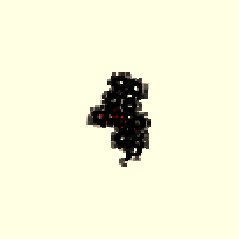 CC1CC2CC(C)C(c3ccc(N(c4ccccc4)c4cc5c(cc4-c4ccccc4)-c4ccccc4C54c5ccccc5-c5ccc(N(c6ccccc6)c6ccc7c(c6)-c6ccccc6C7(C)C)cc54)cc3)C(C1)C2